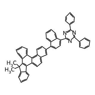 CC1(C)c2ccccc2-c2c1c1ccccc1c1c2ccc2cc(-c3ccc(-c4nc(-c5ccccc5)nc(-c5ccccc5)n4)c4ccccc34)ccc21